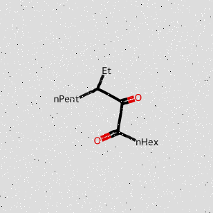 CCCCCCC(=O)C(=O)C(CC)CCCCC